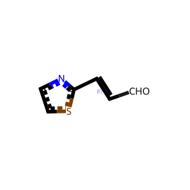 O=C/C=C/c1nccs1